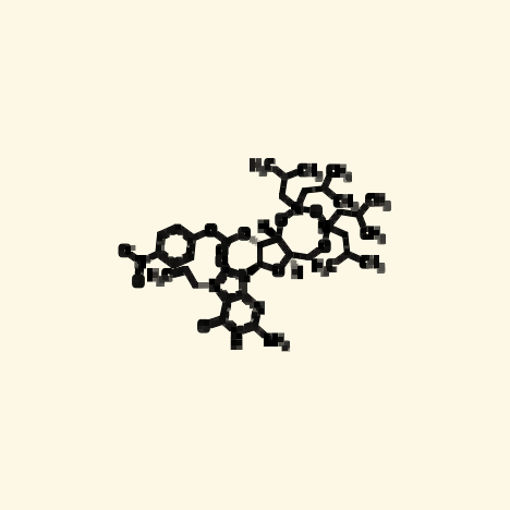 C=CCn1c(=O)n([C@@H]2O[C@@H]3CO[Si](CC(C)C)(CC(C)C)O[Si](CC(C)C)(CC(C)C)O[C@H]3[C@H]2OC(=O)Oc2ccc([N+](=O)[O-])cc2)c2nc(N)[nH]c(=O)c21